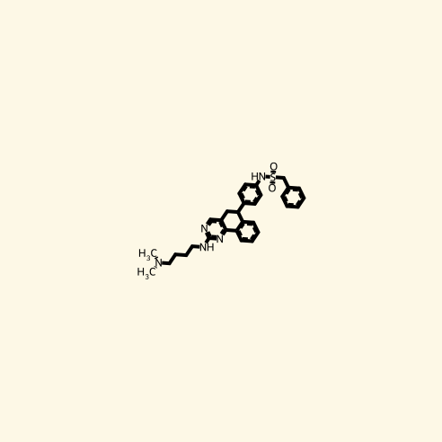 CN(C)CCCCNc1ncc2c(n1)-c1ccccc1C(c1ccc(NS(=O)(=O)Cc3ccccc3)cc1)C2